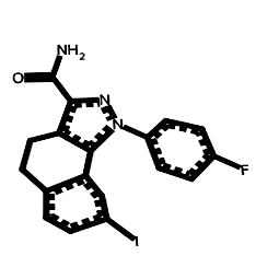 NC(=O)c1nn(-c2ccc(F)cc2)c2c1CCc1ccc(I)cc1-2